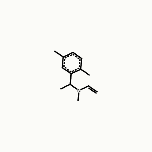 C=CN(C)C(C)c1cc(C)ccc1C